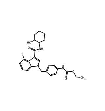 CCOC(=O)Nc1ccc(Cn2cc(C(=O)NC3CCCCC3O)c3c(F)cccc32)cc1